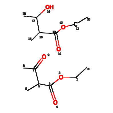 CCOC(=O)C(C)C(C)=O.CCOC(=O)C(C)C(C)O